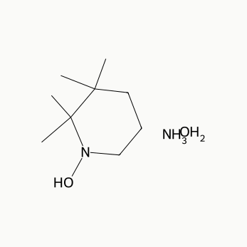 CC1(C)CCCN(O)C1(C)C.N.O